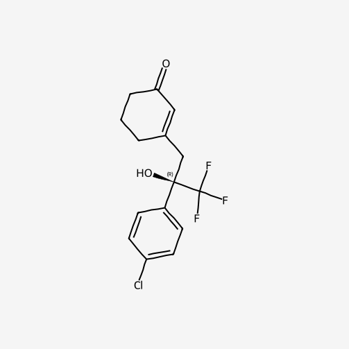 O=C1C=C(C[C@@](O)(c2ccc(Cl)cc2)C(F)(F)F)CCC1